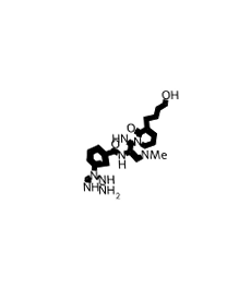 CN/C=C(/NC(=O)c1cccc(N(C=N)NN)c1)C(=N)N1CCC=C(CCCCO)C1=O